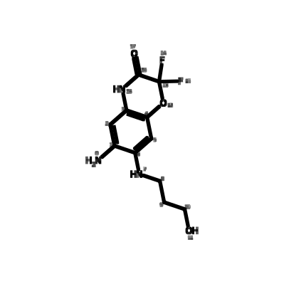 Nc1cc2c(cc1NCCCO)OC(F)(F)C(=O)N2